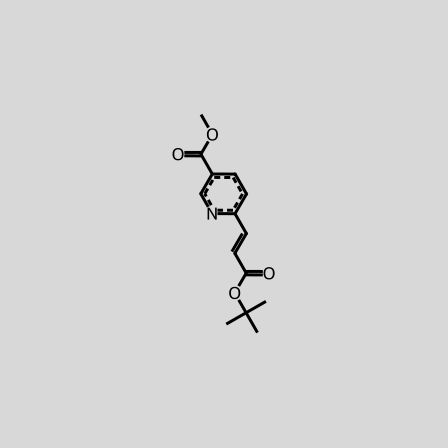 COC(=O)c1ccc(C=CC(=O)OC(C)(C)C)nc1